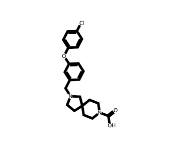 O=C(O)N1CCC2(CCN(Cc3cccc(Oc4ccc(Cl)cc4)c3)C2)CC1